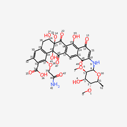 CO[C@@H]1[C@@H](O)[C@@H](OC)C(NC2=CC(=O)c3c(cc4c(c3O)C(=O)C3(OC)C(O)Cc5cc(C)c(C(=O)O)c(OCC(N)=O)c5C3(O)C4=O)C2=O)O[C@H]1C